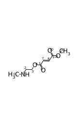 CNCCOC(=O)/C=C/C(=O)OC